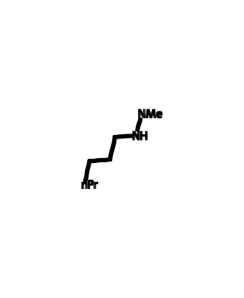 CCCCCCNNC